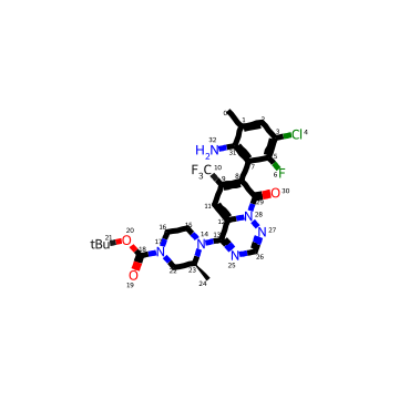 Cc1cc(Cl)c(F)c(-c2c(C(F)(F)F)cc3c(N4CCN(C(=O)OC(C)(C)C)C[C@@H]4C)ncnn3c2=O)c1N